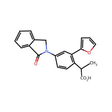 CC(C(=O)O)c1ccc(N2Cc3ccccc3C2=O)cc1-c1ccco1